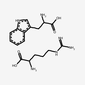 N=C(N)NCCCC(N)C(=O)O.NC(Cc1c[nH]c2ccccc12)C(=O)O